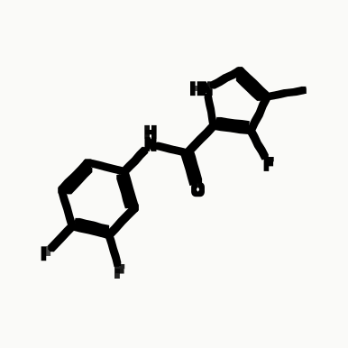 Cc1c[nH]c(C(=O)Nc2ccc(F)c(F)c2)c1F